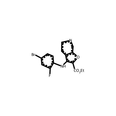 CCOC(=O)c1oc2cnccc2c1Nc1ccc(Br)cc1F